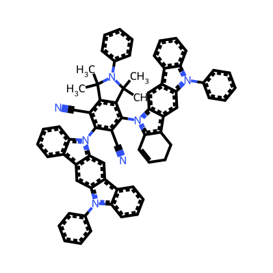 CC1(C)c2c(C#N)c(-n3c4ccccc4c4cc5c(cc43)c3ccccc3n5-c3ccccc3)c(C#N)c(-n3c4c(c5cc6c(cc53)c3ccccc3n6-c3ccccc3)CCC=C4)c2C(C)(C)N1c1ccccc1